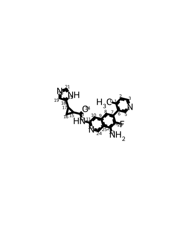 Cc1ccncc1-c1cc2cc(NC(=O)C3CC3c3cnc[nH]3)ncc2c(N)c1F